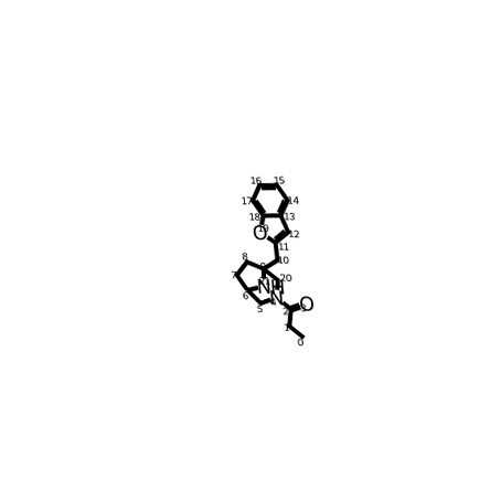 CCC(=O)N1CC2CCC(Cc3cc4ccccc4o3)(C1)N2